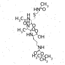 CC(=O)NCSC[C@@H](NC(C)=O)C(=O)N[C@H](C)C(=O)N[C@H](CCCNC(=O)OC(C)(C)C)C(=O)O